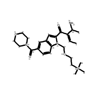 CC=C(C(=O)c1cc2cc(C(=O)N3CCOCC3)ccc2n1COCC[Si](C)(C)C)C(C)N